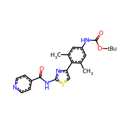 Cc1cc(NC(=O)OC(C)(C)C)cc(C)c1-c1csc(NC(=O)c2ccncc2)n1